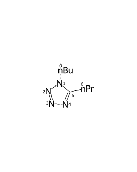 CCCCn1nnnc1CCC